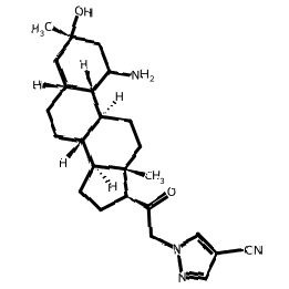 C[C@@]1(O)CC(N)[C@H]2[C@H](CC[C@@H]3[C@@H]2CC[C@]2(C)[C@@H](C(=O)Cn4cc(C#N)cn4)CC[C@@H]32)C1